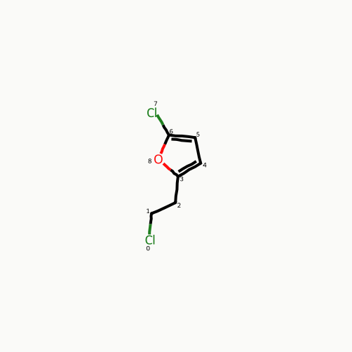 ClCCc1ccc(Cl)o1